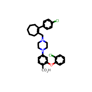 O=C(O)c1ccc(N2CCN(CC3=C(c4ccc(Cl)cc4)CCCCC3)CC2)cc1Oc1ccccc1Cl